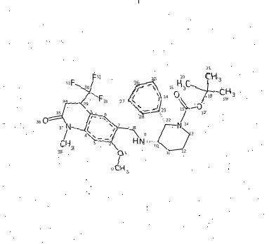 COc1cc2c(cc1CN[C@H]1CCCN(C(=O)OC(C)(C)C)[C@H]1c1ccccc1)C(C(F)(F)F)CC(=O)N2C